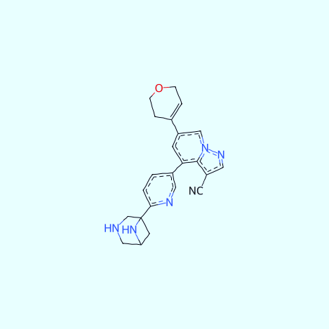 N#Cc1cnn2cc(C3=CCOCC3)cc(-c3ccc(C45CNCC(C4)N5)nc3)c12